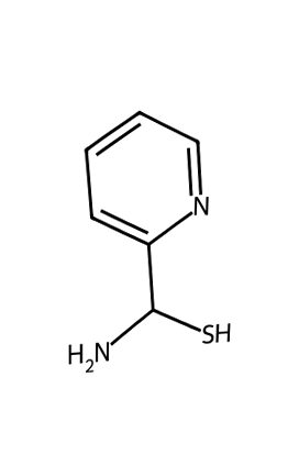 NC(S)c1ccccn1